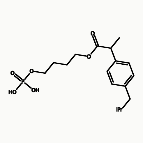 CC(C)Cc1ccc(C(C)C(=O)OCCCCOP(=O)(O)O)cc1